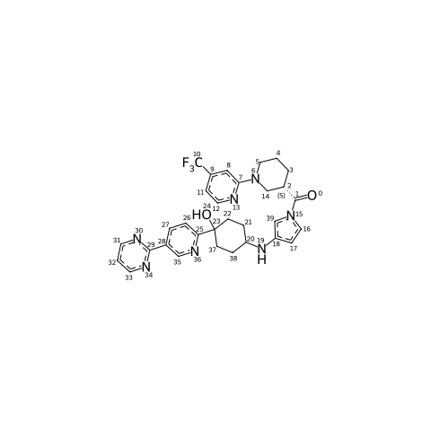 O=C([C@H]1CCCN(c2cc(C(F)(F)F)ccn2)C1)n1ccc(NC2CCC(O)(c3ccc(-c4ncccn4)cn3)CC2)c1